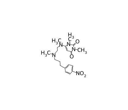 CN(CCCc1ccc([N+](=O)[O-])cc1)CCN(C)c1cc(=O)n(C)c(=O)n1C